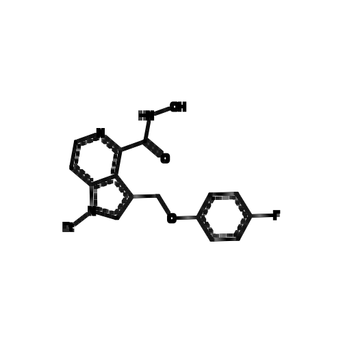 CCn1cc(COc2ccc(F)cc2)c2c(C(=O)NO)nccc21